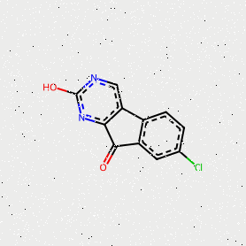 O=C1c2cc(Cl)ccc2-c2cnc(O)nc21